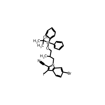 CC(CO[Si](c1ccccc1)(c1ccccc1)C(C)(C)C)Cn1c(C#N)c(I)c2ccc(Br)cc21